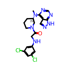 CN(c1ncnc2[nH]ncc12)[C@H]1CCCN(C(=O)CNc2cc(Cl)cc(Cl)c2)C1